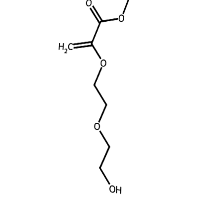 C=C(OCCOCCO)C(=O)OCCC